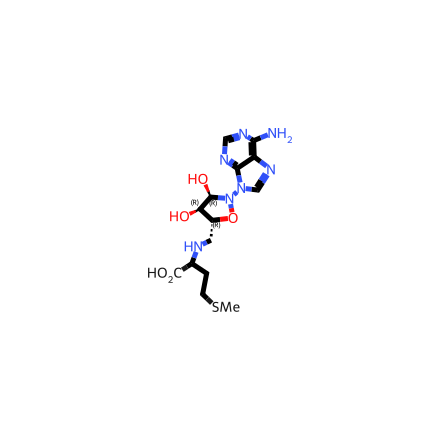 CSCCC(NC[C@H]1ON(n2cnc3c(N)ncnc32)[C@H](O)[C@@H]1O)C(=O)O